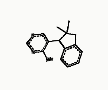 CSc1ncncc1C1c2ccccc2CC1(C)C